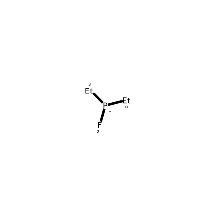 CCP(F)CC